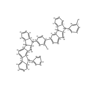 Cc1cccc(-n2c3ccccc3n3c4cc(-c5ccc(-n6c7ccccc7n7c8ccc9c%10ccccc%10n(-c%10ccccc%10)c9c8nc67)cc5C)ccc4nc23)c1